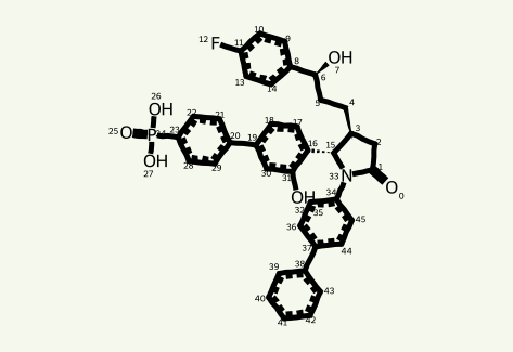 O=C1C[C@H](CC[C@H](O)c2ccc(F)cc2)[C@@H](c2ccc(-c3ccc(P(=O)(O)O)cc3)cc2O)N1c1ccc(-c2ccccc2)cc1